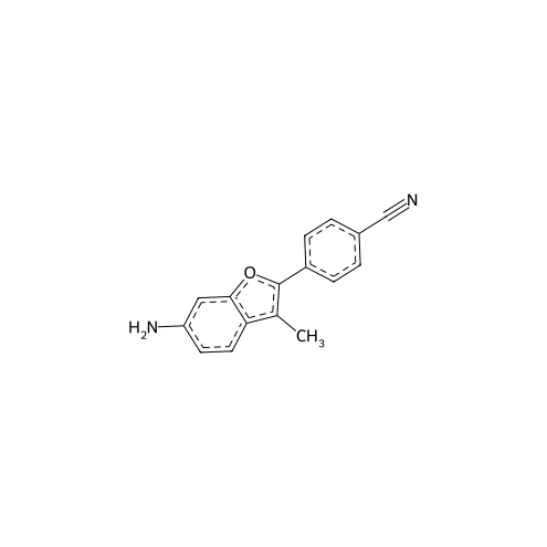 Cc1c(-c2ccc(C#N)cc2)oc2cc(N)ccc12